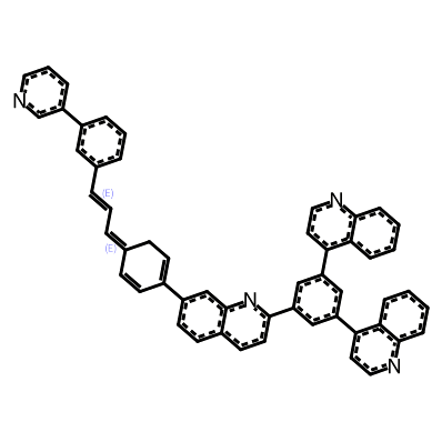 C1=C/C(=C/C=C/c2cccc(-c3cccnc3)c2)CC=C1c1ccc2ccc(-c3cc(-c4ccnc5ccccc45)cc(-c4ccnc5ccccc45)c3)nc2c1